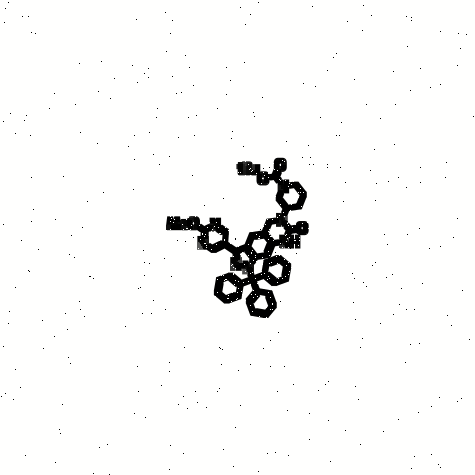 COc1ncc(-c2nn(C(c3ccccc3)(c3ccccc3)c3ccccc3)c3cc4c(cc23)CN(C2CCCN(C(=O)OC(C)(C)C)C2)C(=O)N4)cn1